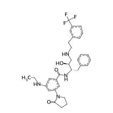 CCNc1cc(C(=O)N[C@@H](Cc2ccccc2)[C@@H](O)CNCCc2cccc(C(F)(F)F)c2)cc(N2CCCC2=O)c1